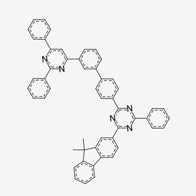 CC1(C)c2ccccc2-c2ccc(-c3nc(-c4ccccc4)nc(-c4ccc(-c5cccc(-c6cc(-c7ccccc7)nc(-c7ccccc7)n6)c5)cc4)n3)cc21